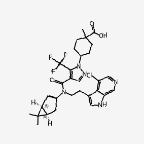 CC1(C(=O)O)CCC(n2ncc(C(=O)N(CCc3c[nH]c4cncc(Cl)c34)C3C[C@@H]4[C@H](C3)C4(C)C)c2C(F)(F)F)CC1